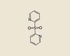 O=S(=O)(c1ccccn1)c1ccccn1